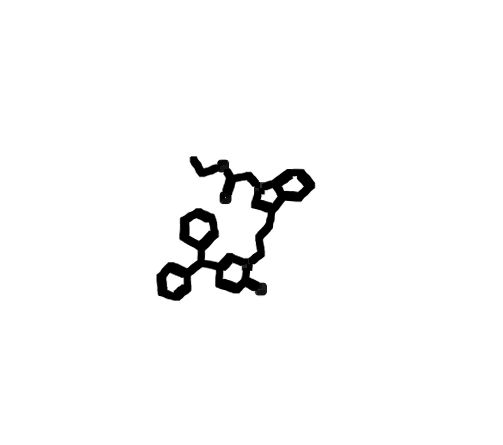 CCOC(=O)Cn1cc(CCCn2cc(C(c3ccccc3)c3ccccc3)ccc2=O)c2ccccc21